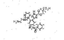 CC1(C(=O)O)COC(c2nc(-c3ccc(F)cc3)c(-c3ccnc(NCCN)n3)[nH]2)OC1.NC(=O)c1ccccc1